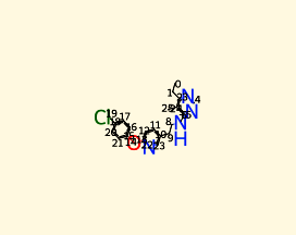 CCc1ncnc(NCCc2ccc(Oc3ccc(Cl)cc3)nc2)c1C